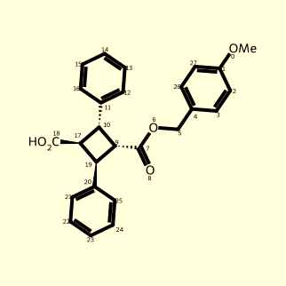 COc1ccc(COC(=O)[C@H]2[C@@H](c3ccccc3)[C@H](C(=O)O)[C@@H]2c2ccccc2)cc1